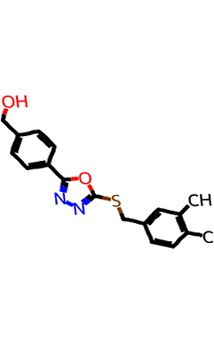 Cc1ccc(CSc2nnc(-c3ccc(CO)cc3)o2)cc1C